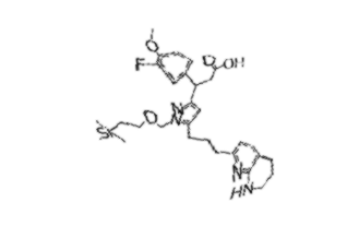 COc1ccc(C(CC(=O)O)c2cc(CCCc3ccc4c(n3)NCCC4)n(COCC[Si](C)(C)C)n2)cc1F